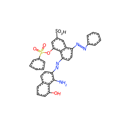 Nc1c(N=Nc2ccc(N=Nc3ccccc3)c3cc(S(=O)(=O)O)cc(OS(=O)(=O)c4ccccc4)c23)ccc2cccc(O)c12